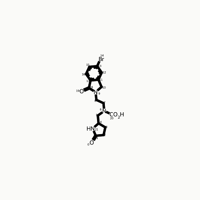 O=C1CCC(CN(CCN2Cc3cc(Br)ccc3C2=O)C(=O)O)N1